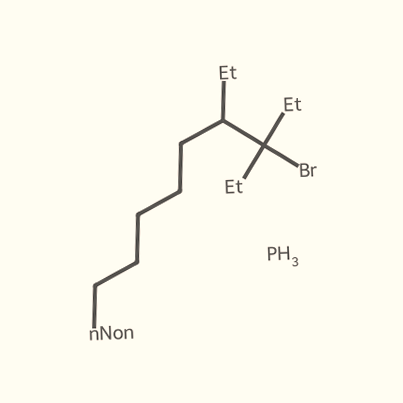 CCCCCCCCCCCCCCC(CC)C(Br)(CC)CC.P